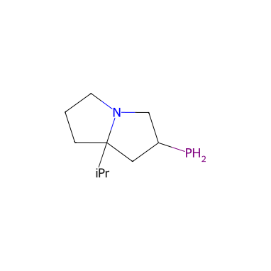 CC(C)C12CCCN1CC(P)C2